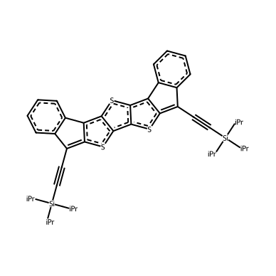 CC(C)[Si](C#CC1=c2sc3c(sc4c5c(sc43)=C(C#C[Si](C(C)C)(C(C)C)C(C)C)c3ccccc3-5)c2-c2ccccc21)(C(C)C)C(C)C